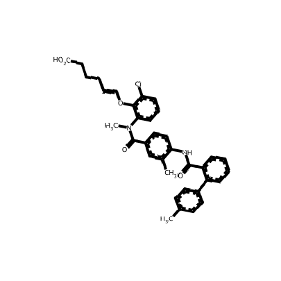 Cc1ccc(-c2ccccc2C(=O)Nc2ccc(C(=O)N(C)c3cccc(Cl)c3OC=CCCCC(=O)O)cc2C)cc1